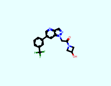 O=C(Cn1ncc2ncc(-c3cccc(C(F)(F)F)c3)cc21)N1CC(O)C1